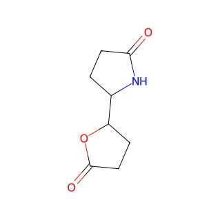 O=C1CCC(C2CCC(=O)O2)N1